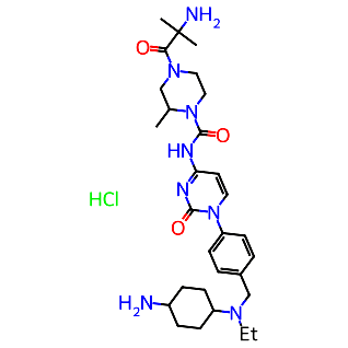 CCN(Cc1ccc(-n2ccc(NC(=O)N3CCN(C(=O)C(C)(C)N)CC3C)nc2=O)cc1)C1CCC(N)CC1.Cl